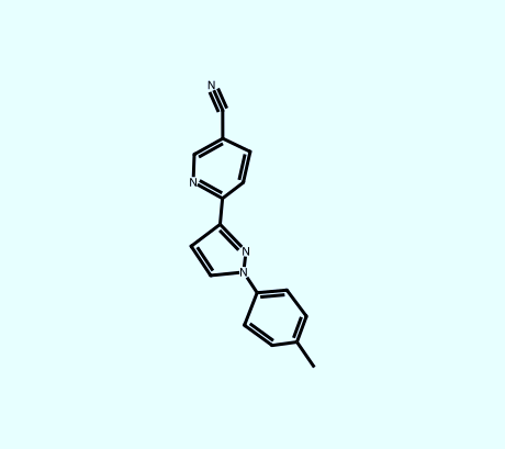 Cc1ccc(-n2ccc(-c3ccc(C#N)cn3)n2)cc1